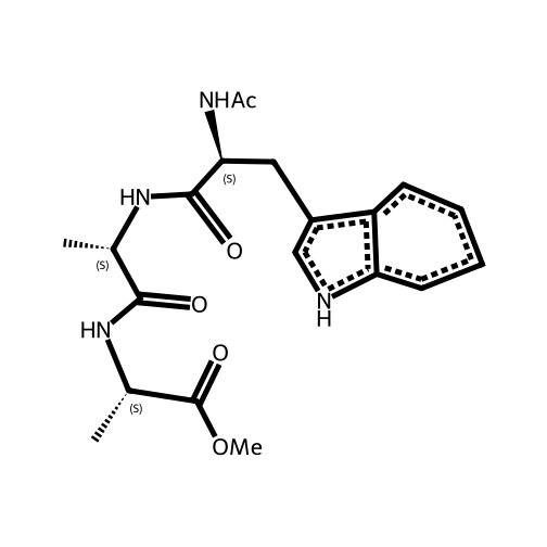 COC(=O)[C@H](C)NC(=O)[C@H](C)NC(=O)[C@H](Cc1c[nH]c2ccccc12)NC(C)=O